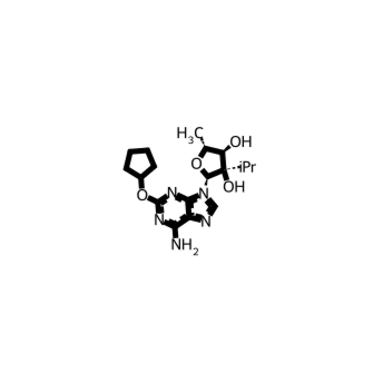 CC(C)[C@@]1(O)[C@H](O)[C@@H](C)O[C@H]1n1cnc2c(N)nc(OC3CCCC3)nc21